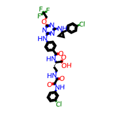 O=C(NCC[C@H](NC(=O)c1ccc(Nc2nc(NC3(c4ccc(Cl)cc4)CC3)nc(OCC(F)(F)F)n2)cc1)C(=O)O)C(=O)Nc1cccc(Cl)c1